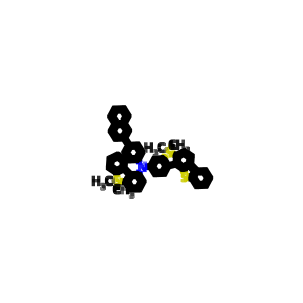 CS1(C)c2ccccc2-c2c(N(c3ccc(-c4ccc5ccccc5c4)cc3)c3ccc4c(c3)S(C)(C)c3ccc5c(sc6ccccc65)c3-4)cccc21